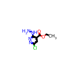 CCOC(=O)c1cc(Cl)nnc1NN